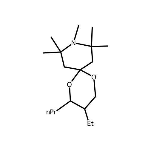 CCCC1OC2(CC(C)(C)N(C)C(C)(C)C2)OCC1CC